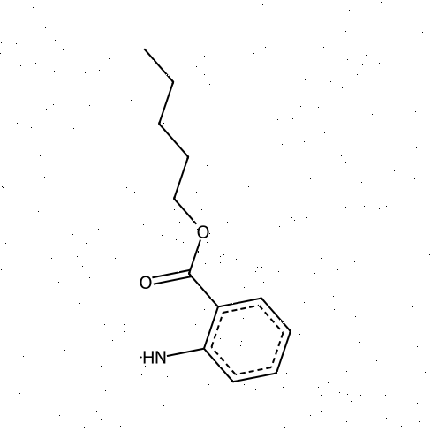 CCCCCOC(=O)c1ccccc1[NH]